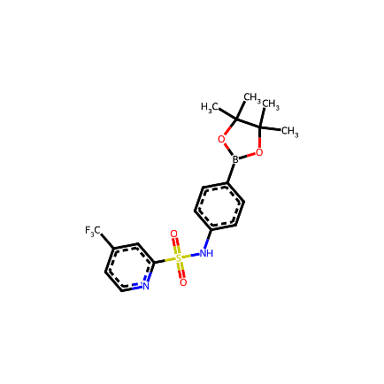 CC1(C)OB(c2ccc(NS(=O)(=O)c3cc(C(F)(F)F)ccn3)cc2)OC1(C)C